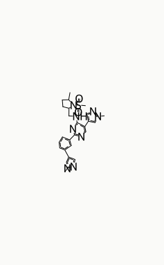 CC1CCC(CNc2nc(-c3cccc(-c4cnn(C)c4)c3)ncc2-c2cnn(C)c2)N1S(C)(=O)=O